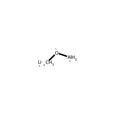 C[O][AlH2].[Li]